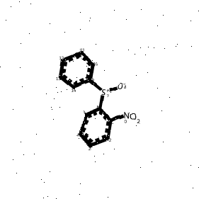 O=[N+]([O-])c1c[c]ccc1[S+]([O-])c1ccccc1